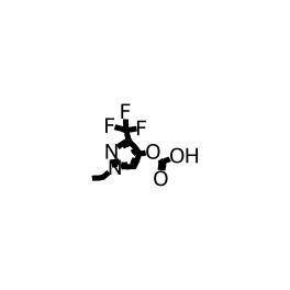 CCn1cc(OC(=O)O)c(C(F)(F)F)n1